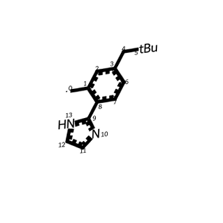 [CH2]c1cc(CC(C)(C)C)ccc1-c1ncc[nH]1